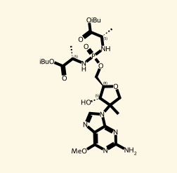 COc1nc(N)nc2c1ncn2C1(C)CO[C@H](COP(=O)(N[C@@H](C)C(=O)OCC(C)C)N[C@@H](C)C(=O)OCC(C)C)[C@H]1O